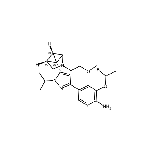 COCCN1C[C@@H]2[C@@H]3C1[C@@]23c1cc(-c2cnc(N)c(OC(F)F)c2)nn1C(C)C